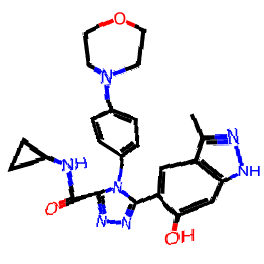 Cc1n[nH]c2cc(O)c(-c3nnc(C(=O)NC4CC4)n3-c3ccc(N4CCOCC4)cc3)cc12